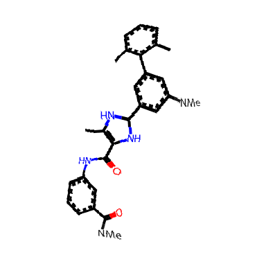 CNC(=O)c1cccc(NC(=O)C2=C(C)NC(c3cc(NC)cc(-c4c(C)cccc4C)c3)N2)c1